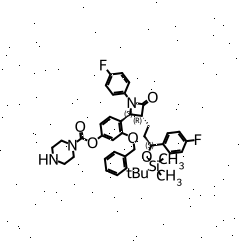 CC(C)(C)[Si](C)(C)O[C@@H](CC[C@H]1C(=O)N(c2ccc(F)cc2)[C@@H]1c1ccc(OC(=O)N2CCNCC2)cc1OCc1ccccc1)c1ccc(F)cc1